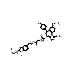 COc1ccc2c(c1)C(c1ccc(Cl)cc1)=N[C@@H](CC(=O)NCC(=O)NCCc1ccc3[nH]c([Si](C)(C)O)nc3c1)c1nnc(C)n1-2